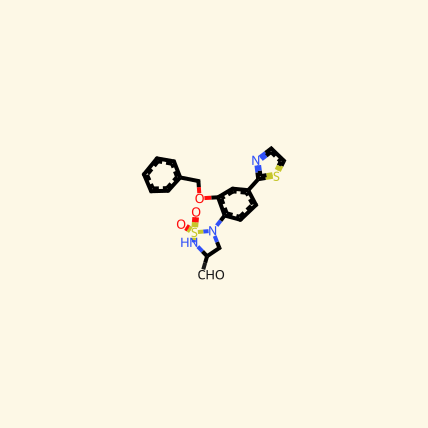 O=CC1CN(c2ccc(-c3nccs3)cc2OCc2ccccc2)S(=O)(=O)N1